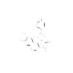 CN1C(=O)C2(CN(c3ccncc3)C2)c2c1cnc1cc(F)c(Br)cc21